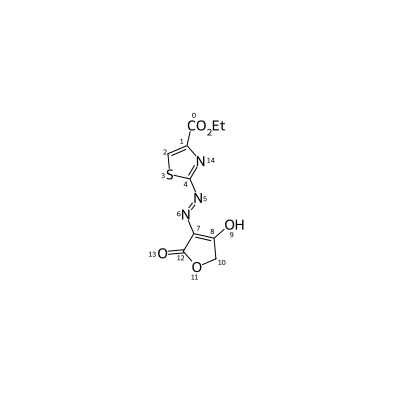 CCOC(=O)c1csc(N=NC2=C(O)COC2=O)n1